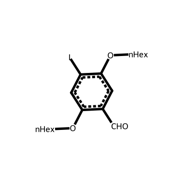 CCCCCCOc1cc(C=O)c(OCCCCCC)cc1I